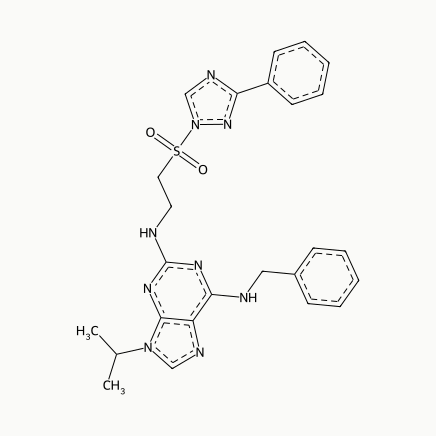 CC(C)n1cnc2c(NCc3ccccc3)nc(NCCS(=O)(=O)n3cnc(-c4ccccc4)n3)nc21